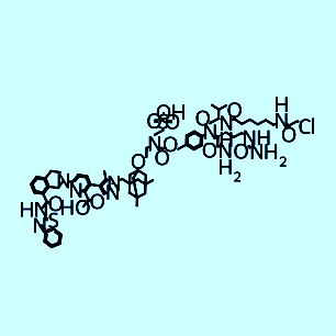 Cc1c(-c2ccc(N3CCc4cccc(C(=O)Nc5nc6ccccc6s5)c4C3)nc2C(=O)O)cnn1CC12CC3(C)CC(C)(C1)CC(OCCN(CCS(=O)(=O)O)C(=O)OCc1ccc(N(C(=O)[C@@H](NC(=O)CCCCCNC(=O)CCl)C(C)C)[C@@H](CCCNC(N)=O)C(N)=O)cc1)(C3)C2